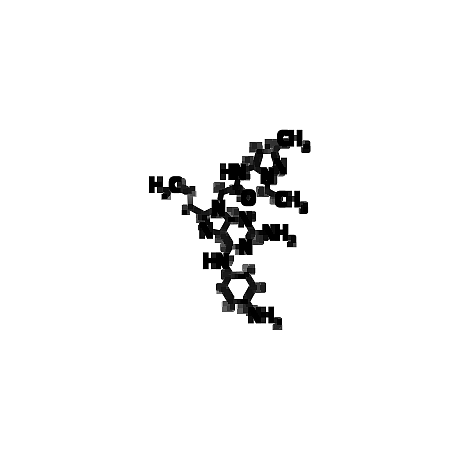 C=CCc1nc2c(Nc3ccc(N)cc3)nc(N)nc2n1CC(=O)Nc1cc(C)nn1CC